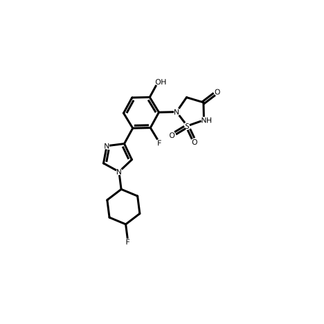 O=C1CN(c2c(O)ccc(-c3cn(C4CCC(F)CC4)cn3)c2F)S(=O)(=O)N1